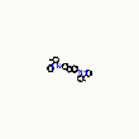 Cc1cccc(Nc2ccc3c(c2)Cc2cc(Nc4cccc(C)c4-c4ccccc4)ccc2-3)c1-c1ccccc1